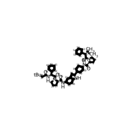 CN(C)[C@@H](C(=O)N1CCC[C@H]1C(=O)Nc1ccc(-c2cc3cc(NC(=O)[C@@H]4CCCN4C(=O)[C@H](NC(=O)CC(C)(C)C)c4ccccc4)ccc3[nH]2)cc1)c1ccccc1